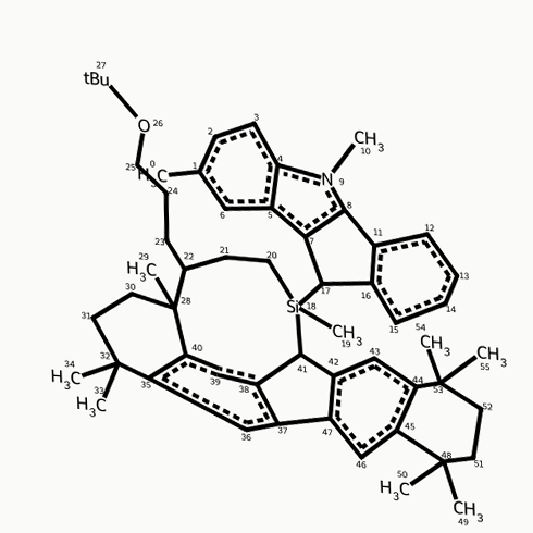 Cc1ccc2c(c1)c1c(n2C)-c2ccccc2C1[Si]1(C)CCC(CCCOC(C)(C)C)C2(C)CCC(C)(C)c3cc4c(cc32)C1c1cc2c(cc1-4)C(C)(C)CCC2(C)C